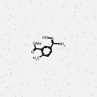 COC(=O)c1cc(/C(N)=N\O)ccc1C